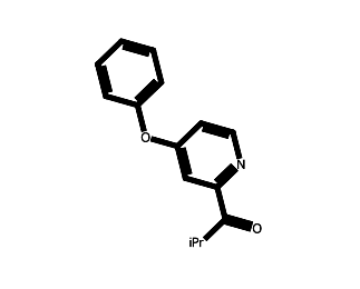 CC(C)C(=O)c1cc(Oc2ccccc2)ccn1